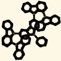 c1ccc(-n2c3ccc(-n4c5ccccc5c5cccc(-n6c7ccccc7c7ccccc76)c54)cc3c3cc(-n4c5ccccc5c5cccc(-n6c7ccccc7c7ccccc76)c54)ccc32)cc1